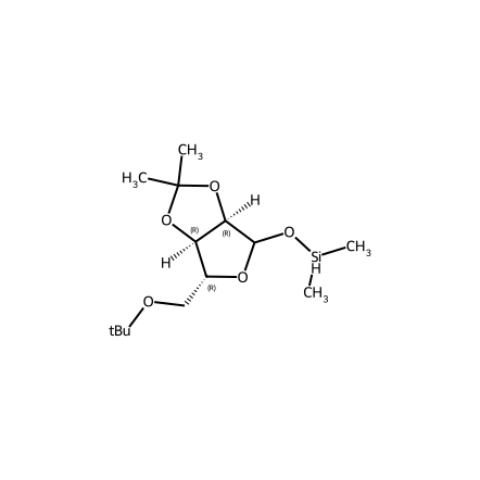 C[SiH](C)OC1O[C@H](COC(C)(C)C)[C@H]2OC(C)(C)O[C@@H]12